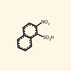 O=[N+]([O-])c1ccc2ccccc2c1S(=O)(=O)O